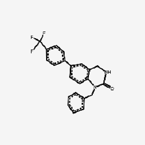 O=C1NCc2cc(-c3ccc(C(F)(F)F)cc3)ccc2N1Cc1ccccc1